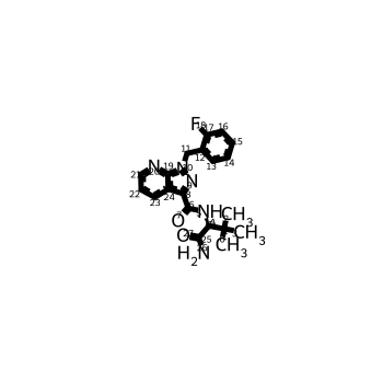 CC(C)(C)[C@H](NC(=O)c1nn(Cc2ccccc2F)c2ncccc12)C(N)=O